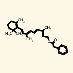 CC(C=CC1=C(C)CCCC1(C)C)=CC=CC(C)=CCOC(=O)Cc1ccccc1